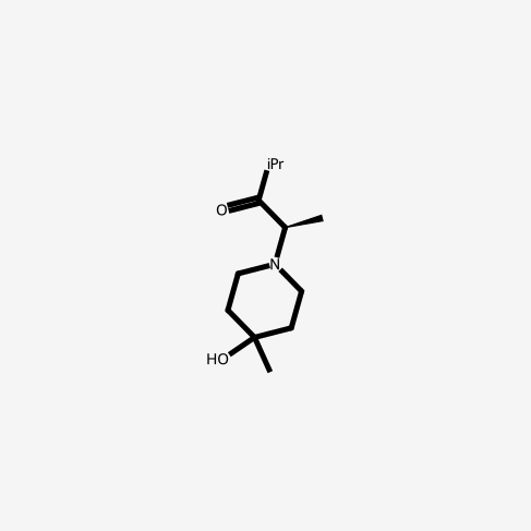 CC(C)C(=O)[C@@H](C)N1CCC(C)(O)CC1